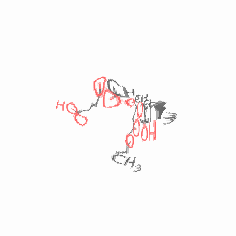 CCCCOCC(CC(OCC)C(C)OCC(C)OC(=O)CCCCC(=O)O)OCC(C)O